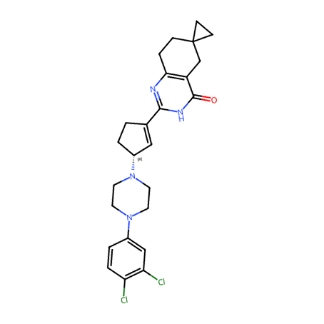 O=c1[nH]c(C2=C[C@H](N3CCN(c4ccc(Cl)c(Cl)c4)CC3)CC2)nc2c1CC1(CC2)CC1